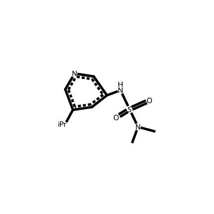 CC(C)c1cncc(NS(=O)(=O)N(C)C)c1